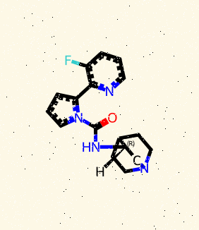 O=C(N[C@H]1CN2CCC1CC2)n1cccc1-c1ncccc1F